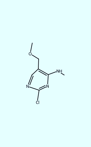 CNc1nc(Cl)ncc1COC